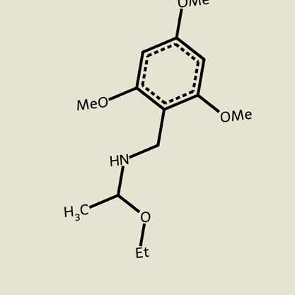 CCOC(C)NCc1c(OC)cc(OC)cc1OC